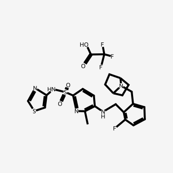 Cc1nc(S(=O)(=O)Nc2cscn2)ccc1NCc1c(F)cccc1CN1C2CCC1CC2.O=C(O)C(F)(F)F